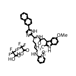 COc1ccc2[nH]c(C)c(CC(=O)N[C@@H](CCCCNc3cccc[n+]3[O-])c3ncc(-c4ccc5ccccc5c4)[nH]3)c2c1.O=C(O)C(F)(F)F.O=C(O)C(F)(F)F